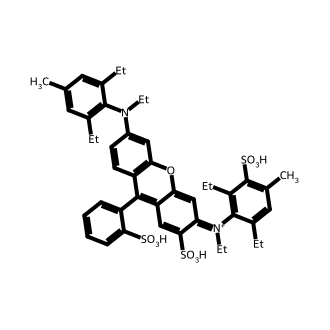 CCc1cc(C)cc(CC)c1N(CC)c1ccc2c(-c3ccccc3S(=O)(=O)O)c3cc(S(=O)(=O)O)/c(=[N+](\CC)c4c(CC)cc(C)c(S(=O)(=O)O)c4CC)cc-3oc2c1